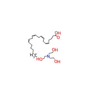 CCCCC/C=C\C/C=C\C/C=C\C/C=C\CCCC(=O)O.OCCN(CCO)CCO